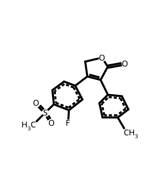 Cc1ccc(C2=C(c3ccc(S(C)(=O)=O)c(F)c3)COC2=O)cc1